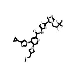 COCC1CN(c2cnc(C(=O)Nc3csc(-c4nncn4C[C@@H](C)C(F)(F)F)n3)cc2-n2cnc(C3CC3)c2)C1